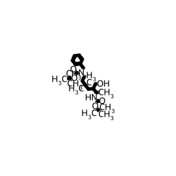 CC(NC(=O)OC(C)(C)C)C(CO)CC(C)(C)CCN(Cc1ccccc1)C(=O)OC(C)(C)C